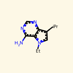 CCn1cc(C(C)C)c2ncnc(N)c21